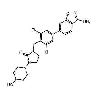 Nc1noc2cc(-c3cc(Cl)c(CC4CCN(N5CCC(O)CC5)C4=O)c(Cl)c3)ccc12